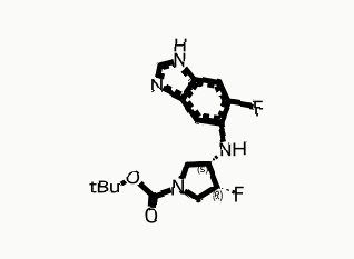 CC(C)(C)OC(=O)N1C[C@@H](F)[C@@H](Nc2cc3nc[nH]c3cc2F)C1